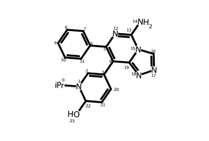 CC(C)N1C=C(c2c(-c3ccccc3)nc(N)n3cnnc23)C=CC1O